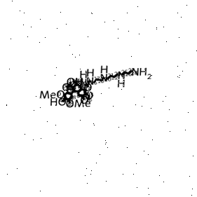 COc1cc(C2c3cc4c(cc3[C@@H](NC(=O)NCCCNCCCCNCCCN)[C@H]3COC(=O)[C@H]23)OCO4)cc(OC)c1O